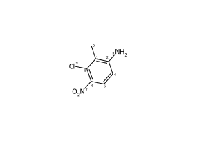 Cc1c(N)ccc([N+](=O)[O-])c1Cl